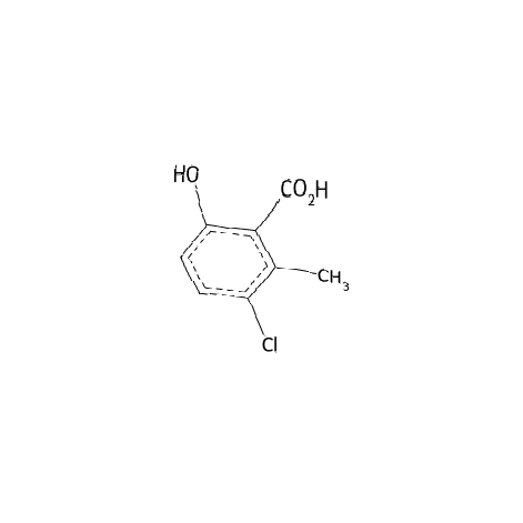 Cc1c(Cl)ccc(O)c1C(=O)O